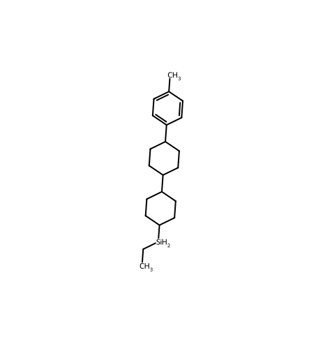 CC[SiH2]C1CCC(C2CCC(c3ccc(C)cc3)CC2)CC1